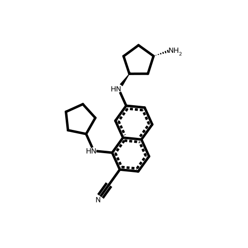 N#Cc1ccc2ccc(N[C@H]3CC[C@H](N)C3)cc2c1NC1CCCC1